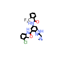 Cc1c(Cl)cccc1NC(=O)c1cc(NC(=O)c2ccccc2C(F)(F)F)cc2[nH]c(CN(C)C)nc12